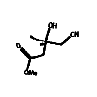 COC(=O)C[C@@](C)(O)CC#N